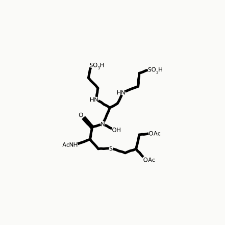 CC(=O)NC(CSCC(COC(C)=O)OC(C)=O)C(=O)N(O)C(CNCCS(=O)(=O)O)NCCS(=O)(=O)O